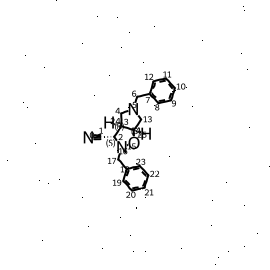 N#C[C@@H]1[C@H]2CN(Cc3ccccc3)C[C@H]2ON1Cc1ccccc1